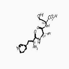 CC(C)[C@H](NC(=O)[C@@H](N)Cc1cccnc1)C(=O)N[C@@H](CO)C(=O)O